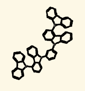 c1cc(-n2c3ccccc3c3c(-n4c5ccccc5c5ccccc54)cccc32)cc(-n2c3ccccc3c3c(-n4c5ccccc5c5ccccc54)cccc32)c1